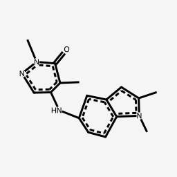 Cc1c(Nc2ccc3c(c2)cc(C)n3C)cnn(C)c1=O